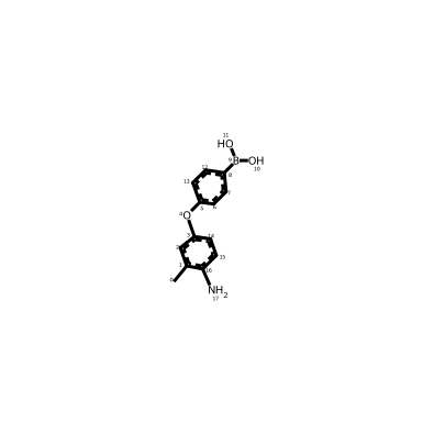 Cc1cc(Oc2ccc(B(O)O)cc2)ccc1N